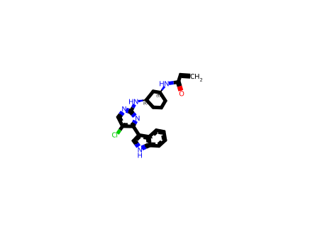 C=CC(=O)N[C@H]1CCC[C@@H](Nc2ncc(Cl)c(-c3c[nH]c4ccccc34)n2)C1